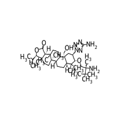 CC(C)[C@H]1OC(=O)[C@@H]2[C@]1(C)CC[C@]1(C)[C@H]3CC[C@H]4C(C)(C)[C@@H](OC[C@](C)(N)C(C)(C)C)[C@H](n5nnc(N)n5)C[C@]4(CO)C3=CC[C@@]21C